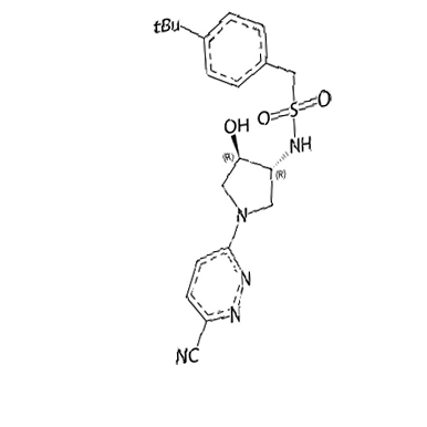 CC(C)(C)c1ccc(CS(=O)(=O)N[C@@H]2CN(c3ccc(C#N)nn3)C[C@H]2O)cc1